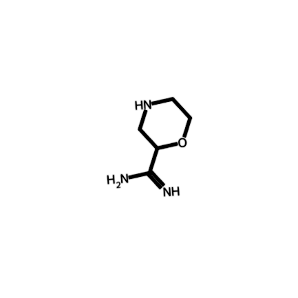 N=C(N)C1CNCCO1